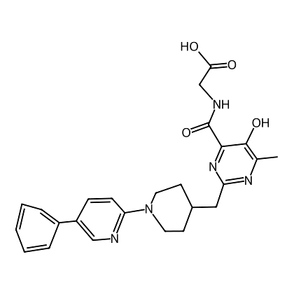 Cc1nc(CC2CCN(c3ccc(-c4ccccc4)cn3)CC2)nc(C(=O)NCC(=O)O)c1O